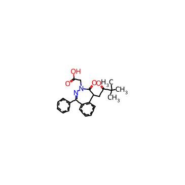 CC(C)(C)C(=O)CC1C(=O)N(CC(=O)O)N=C(c2ccccc2)c2ccccc21